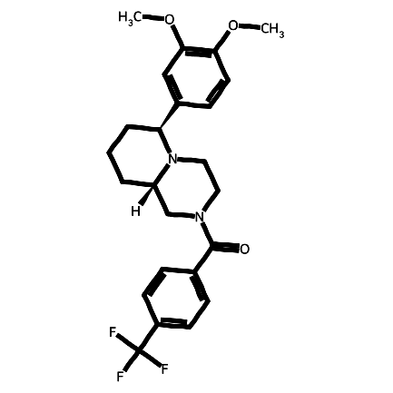 COc1ccc([C@@H]2CCC[C@H]3CN(C(=O)c4ccc(C(F)(F)F)cc4)CCN32)cc1OC